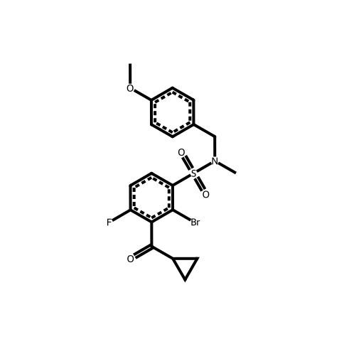 COc1ccc(CN(C)S(=O)(=O)c2ccc(F)c(C(=O)C3CC3)c2Br)cc1